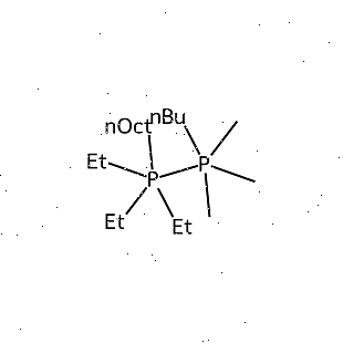 CCCCCCCCP(CC)(CC)(CC)P(C)(C)(C)CCCC